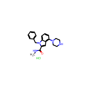 CNC(=O)c1cc2c(N3CCNCC3)cccc2n1Cc1ccccc1.Cl